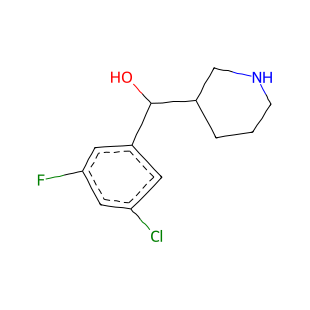 OC(c1cc(F)cc(Cl)c1)C1CCCNC1